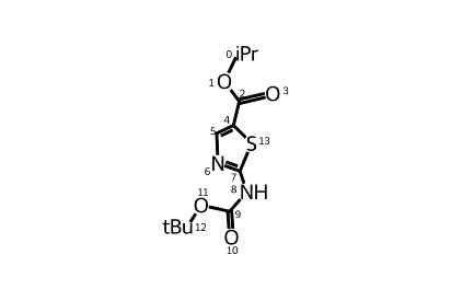 CC(C)OC(=O)c1cnc(NC(=O)OC(C)(C)C)s1